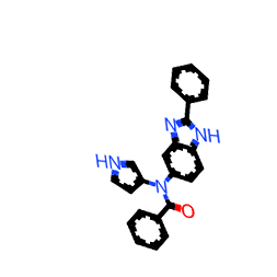 O=C(c1ccccc1)N(c1cc[nH]c1)c1ccc2[nH]c(-c3ccccc3)nc2c1